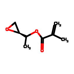 C=C(C)C(=O)OC(C)[C@@H]1CO1